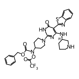 O=C(OCc1ccccc1)N(OC(=O)C(F)(F)F)C1CCN(c2nc(N[C@@H]3CCCNC3)c(-c3nc4ccccc4s3)c(=O)[nH]2)CC1